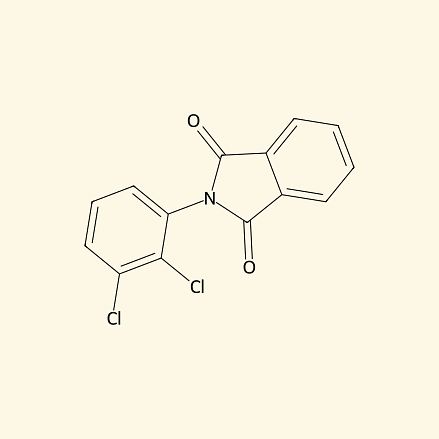 O=C1c2ccccc2C(=O)N1c1cccc(Cl)c1Cl